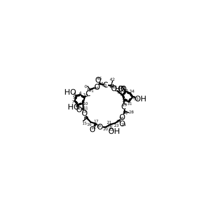 C[C@@H]1Cc2cc(O)cc(O)c2C(=O)O[C@H](C)CC(=O)OC[C@@H](O)CC(=O)O[C@H](C)Cc2cc(O)cc(O)c2C(=O)O[C@H](C)CC(=O)O1